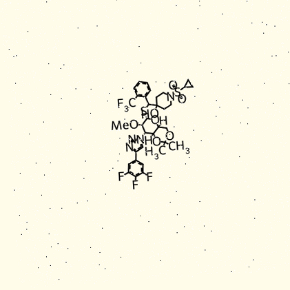 CO[C@@H]1[C@@H](n2cc(-c3cc(F)c(F)c(F)c3)nn2)[C@H]2OC(C)(C)OC[C@H]2O[C@H]1SC(c1ccccc1C(F)(F)F)C1(O)CCN(S(=O)(=O)C2CC2)CC1